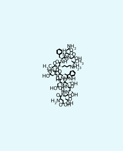 CC(C)C[C@H](NC(=O)[C@H](CC(N)=O)NC(=O)[C@H](Cc1ccccc1)NC(=O)[C@H](CCCCN)NC(=O)[C@H](C)NC(=O)[C@H](CC(=O)O)NC(=O)[C@H](Cc1c[nH]c2ccccc12)NC(=O)[C@H](CC(=O)O)NC(=O)[C@H](CO)NC(=O)[C@H](CO)NC(=O)[C@H](CC(=O)O)NC(=O)[C@@H](N)CC(=O)O)C(=O)O